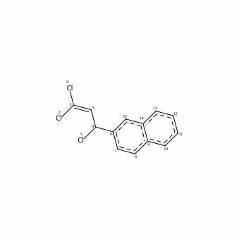 ClC(Cl)=CC(Cl)c1ccc2ccccc2c1